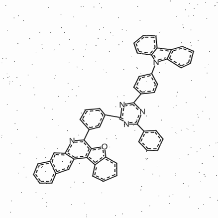 c1ccc(-c2nc(-c3ccc(-n4c5ccccc5c5ccccc54)cc3)nc(-c3cccc(-c4nc5cc6ccccc6cc5c5c4oc4ccccc45)c3)n2)cc1